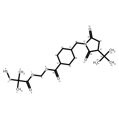 CC(C)(SS)C(=O)OCOC(=O)C1CCC(CN2C(=O)CC(C(C)(C)C)C2=O)CC1